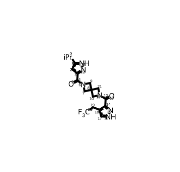 CC(C)c1cc(C(=O)N2CC3(C2)CN(C(=O)c2n[nH]cc2CC(F)(F)F)C3)n[nH]1